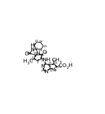 Cc1cc(Nc2ncnc3sc(C(=O)O)c(C)c23)c(=O)n2c1C(=O)NC21CCCCC1